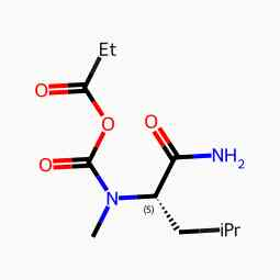 CCC(=O)OC(=O)N(C)[C@@H](CC(C)C)C(N)=O